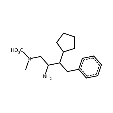 CN(CC(N)C(Cc1ccccc1)C1CCCC1)C(=O)O